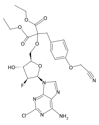 CCOC(=O)C(Cc1ccc(OCC#N)cc1)(OC[C@H]1O[C@@H](n2cnc3c(N)nc(Cl)nc32)[C@@H](F)[C@@H]1O)C(=O)OCC